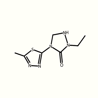 CCN1NCN(c2nnc(C)s2)C1=O